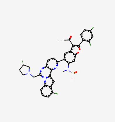 CCN(c1cc2oc(-c3ccc(F)cc3F)c(C(=O)NC)c2cc1-c1ccc2nc(CN3CC[C@@H](F)C3)n3c4cccc(F)c4cc3c2n1)[SH](=O)=O